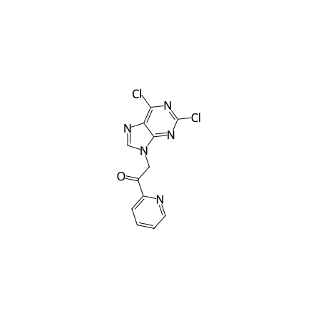 O=C(Cn1cnc2c(Cl)nc(Cl)nc21)c1ccccn1